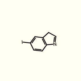 Ic1ccc2c(c1)CC=N2